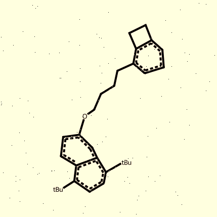 CC(C)(C)c1ccc(C(C)(C)C)c2cc(OCCCCc3cccc4c3CC4)ccc12